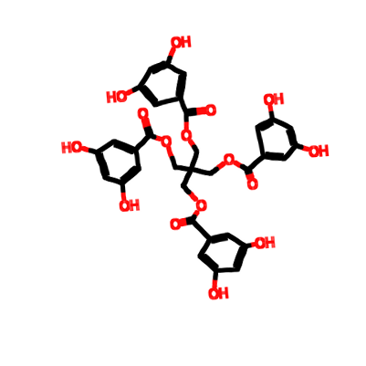 O=C(OCC(COC(=O)c1cc(O)cc(O)c1)(COC(=O)c1cc(O)cc(O)c1)COC(=O)c1cc(O)cc(O)c1)c1cc(O)cc(O)c1